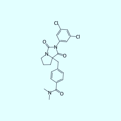 CN(C)C(=O)c1ccc(CC23CCCN2C(=O)N(c2cc(Cl)cc(Cl)c2)C3=O)cc1